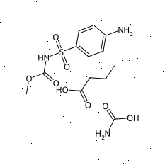 CCCC(=O)O.COC(=O)NS(=O)(=O)c1ccc(N)cc1.NC(=O)O